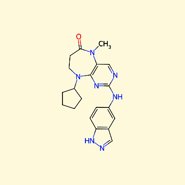 CN1C(=O)CCN(C2CCCC2)c2nc(Nc3ccc4[nH]ncc4c3)ncc21